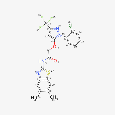 Cc1cc2nc(NC(=O)COc3cc(C(F)(F)F)nn3-c3ccccc3Cl)sc2cc1C